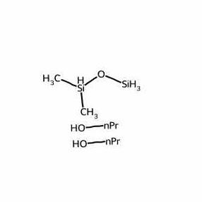 CCCO.CCCO.C[SiH](C)O[SiH3]